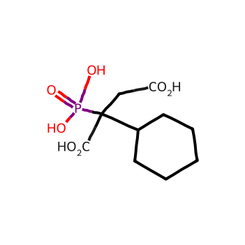 O=C(O)CC(C(=O)O)(C1CCCCC1)P(=O)(O)O